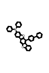 c1ccc(-c2ccc(-c3c4oc5cc(N(c6ccccc6)c6ccccc6)ccc5c4cc4oc5ccccc5c34)cc2)cc1